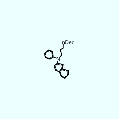 CCCCCCCCCCCCCN(c1ccccc1)c1ccc2ccccc2c1